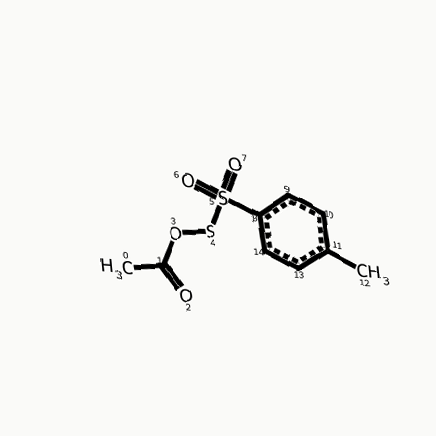 CC(=O)OSS(=O)(=O)c1ccc(C)cc1